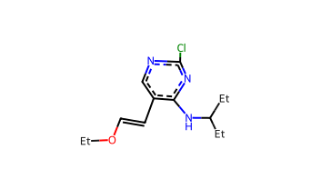 CCOC=Cc1cnc(Cl)nc1NC(CC)CC